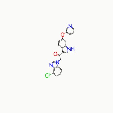 O=C(Cn1cnc2c(Cl)cccc21)c1c[nH]c2cc(Oc3cccnc3)ccc12